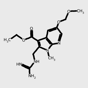 CCOC(=O)c1c(CNC(=N)N)n(C)c2ncc(OCOC)cc12